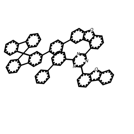 c1ccc(-c2cccc(-c3nc(-c4cccc5c4oc4ccccc45)nc(-c4cccc5oc6ccc(-c7ccc(-c8ccc9c(c8)C8(c%10ccccc%10-c%10ccccc%108)c8ccccc8-9)cc7)cc6c45)n3)c2)cc1